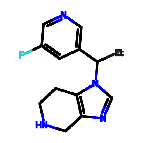 CCC(c1cncc(F)c1)n1cnc2c1CCNC2